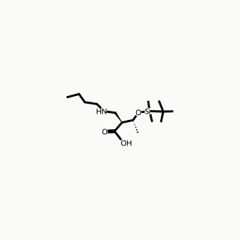 CCCCNC[C@H](C(=O)O)[C@@H](C)O[Si](C)(C)C(C)(C)C